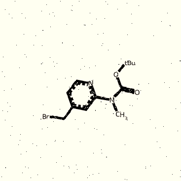 CN(C(=O)OC(C)(C)C)c1cc(CBr)ccn1